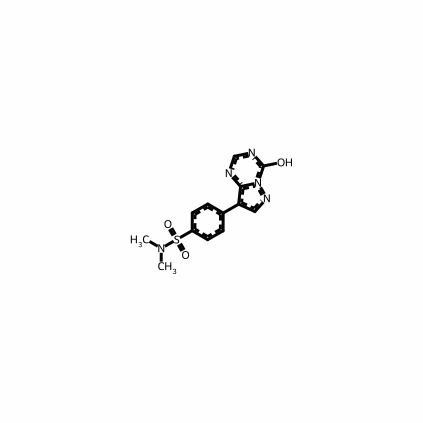 CN(C)S(=O)(=O)c1ccc(-c2cnn3c(O)ncnc23)cc1